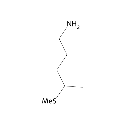 CSC(C)CCCN